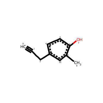 C#CCc1ccc(O)c(C)c1